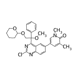 COC(COC1CCCCO1)(c1ccccc1)c1nc(Cl)nc2ccc(-c3cc(C)c(=O)n(C)c3)cc12